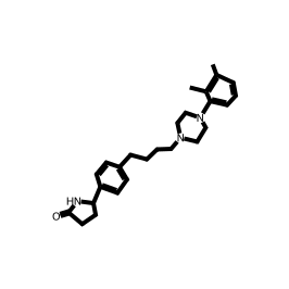 Cc1cccc(N2CCN(CCCCc3ccc(C4CCC(=O)N4)cc3)CC2)c1C